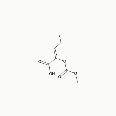 CCC=C(OC(=O)OC)C(=O)O